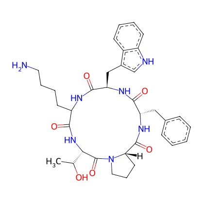 CC(O)[C@@H]1NC(=O)C(CCCCN)NC(=O)[C@@H](Cc2c[nH]c3ccccc23)NC(=O)[C@H](Cc2ccccc2)NC(=O)[C@@H]2CCCN2C1=O